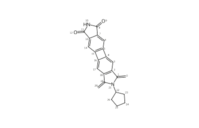 C=c1c2cc3c4cc5c(=O)[nH]c(=O)c5cc4c3cc2c(=C)n1C1CCCC1